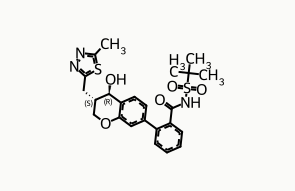 Cc1nnc(C[C@H]2COc3cc(-c4ccccc4C(=O)NS(=O)(=O)C(C)(C)C)ccc3[C@@H]2O)s1